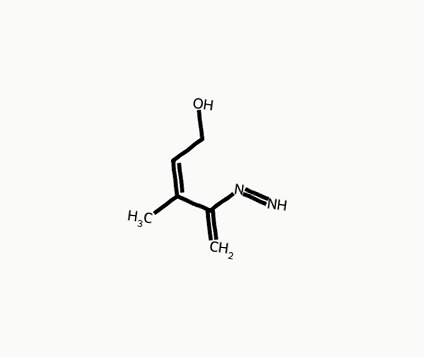 C=C(N=N)/C(C)=C\CO